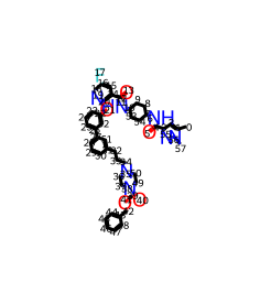 Cc1cc(C(=O)NC2CCC(NC(=O)c3cc(F)cnc3Oc3cccc(-c4cccc(CCCN5CCN(C(=O)OCc6ccccc6)CC5)c4)c3)CC2)nn1C